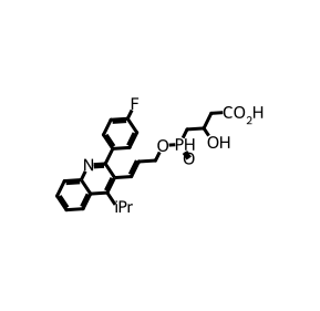 CC(C)c1c(C=CCO[PH](=O)CC(O)CC(=O)O)c(-c2ccc(F)cc2)nc2ccccc12